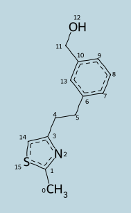 Cc1nc(CCc2cccc(CO)c2)cs1